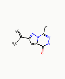 C=C(C)c1cc2c(=O)[nH]nc(C(C)C)n2n1